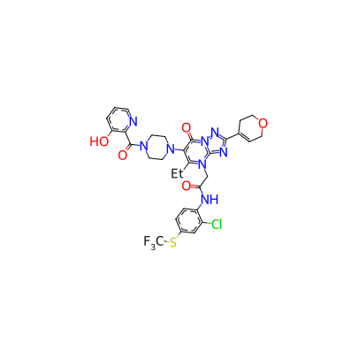 CCc1c(N2CCN(C(=O)c3ncccc3O)CC2)c(=O)n2nc(C3=CCOCC3)nc2n1CC(=O)Nc1ccc(SC(F)(F)F)cc1Cl